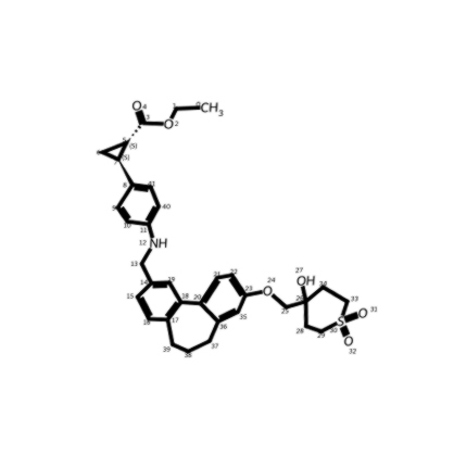 CCOC(=O)[C@H]1C[C@@H]1c1ccc(NCc2ccc3c(c2)-c2ccc(OCC4(O)CCS(=O)(=O)CC4)cc2CCC3)cc1